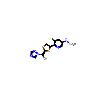 N#C/C(=C1/SCC(c2ncc(NC(=O)O)cc2F)S1)n1cncn1